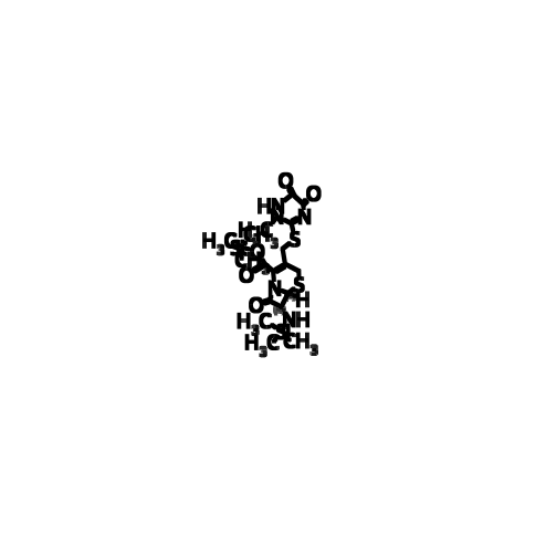 Cn1[nH]c(=O)c(=O)nc1SCC1=C(C(=O)O[Si](C)(C)C)N2C(=O)[C@@H](N[Si](C)(C)C)[C@H]2SC1